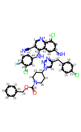 N#Cc1cnc2c(Cl)cc(N[C@H](c3ccc(Cl)cc3)c3cn(C4CCN(C(=O)OCc5ccccc5)CC4)nn3)cc2c1Nc1ccc(F)c(Cl)c1